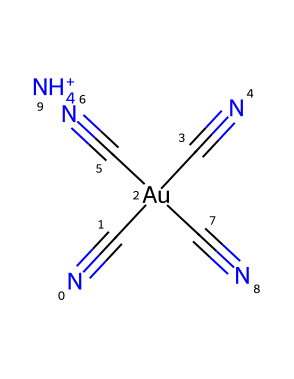 N#[C][Au]([C]#N)([C]#N)[C]#N.[NH4+]